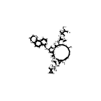 CC[C@@H]1C[C@@H](C)CCC=C[C@@H]2C[C@@]2(C(=O)NS(=O)(=O)C2(C)CC2)NC(=O)[C@@H]2C[C@@H](Oc3nccc4c5c(ccc34)OCCO5)CN2C(=O)[C@H]1NC(=O)OC(C)(C)C(F)F